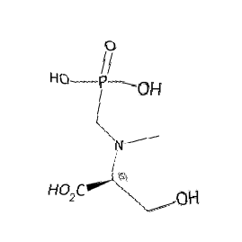 CN(CP(=O)(O)O)[C@@H](CO)C(=O)O